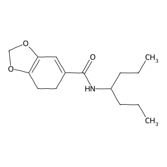 CCCC(CCC)NC(=O)C1=CC2=C(CC1)OCO2